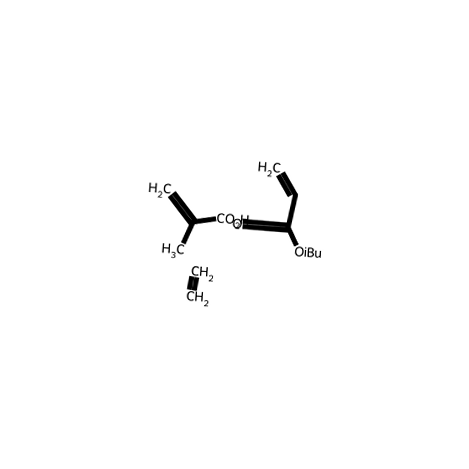 C=C.C=C(C)C(=O)O.C=CC(=O)OCC(C)C